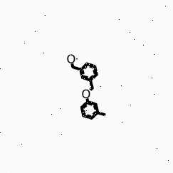 Cc1cccc(OCc2cccc(C[O])c2)c1